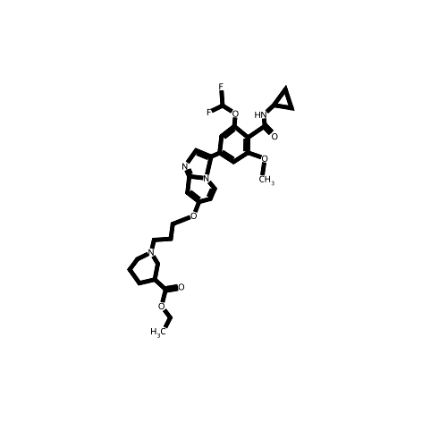 CCOC(=O)C1CCCN(CCCOc2ccn3c(-c4cc(OC)c(C(=O)NC5CC5)c(OC(F)F)c4)cnc3c2)C1